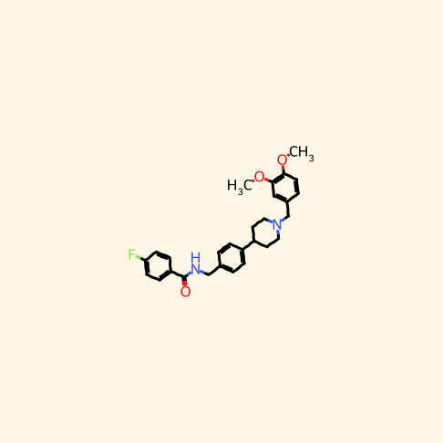 COc1ccc(CN2CCC(c3ccc(CNC(=O)c4ccc(F)cc4)cc3)CC2)cc1OC